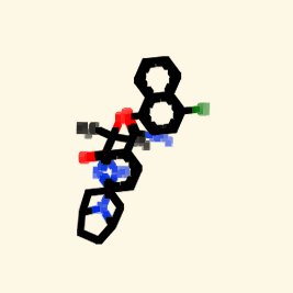 CC(C)(Oc1ccc(Cl)c2ccccc12)C(=O)NC1CC2CCC(C1)N2c1ccc(C(N)=O)cn1